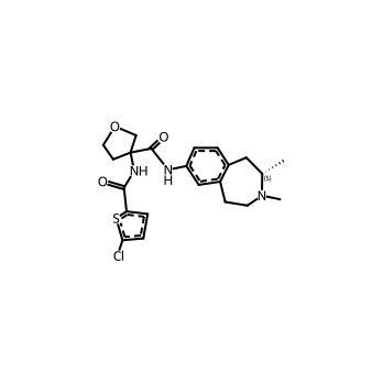 C[C@H]1Cc2ccc(NC(=O)C3(NC(=O)c4ccc(Cl)s4)CCOC3)cc2CCN1C